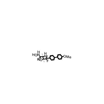 COc1ccc(-c2ccc(CN[C@](C)(C(=O)NO)[C@](C)(O)C(F)F)cc2)cc1